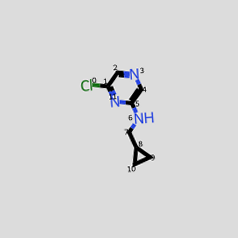 Clc1cncc(NCC2CC2)n1